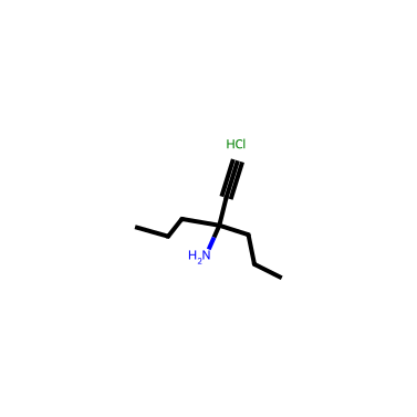 C#CC(N)(CCC)CCC.Cl